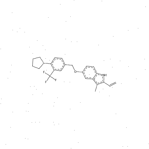 C=Cc1[nH]c2ccc(OCc3ccc(C4CCCC4)c(C(F)(F)F)c3)cc2c1C